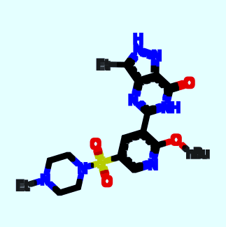 CCCCOc1ncc(S(=O)(=O)N2CCN(CC)CC2)cc1-c1nc2c(CC)[nH]nc2c(=O)[nH]1